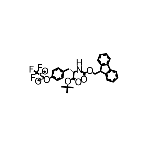 CC(C)(C)OC(=O)[C@H](Cc1ccc(OS(=O)(=O)C(F)(F)F)cc1)NC(=O)OCC1c2ccccc2-c2ccccc21